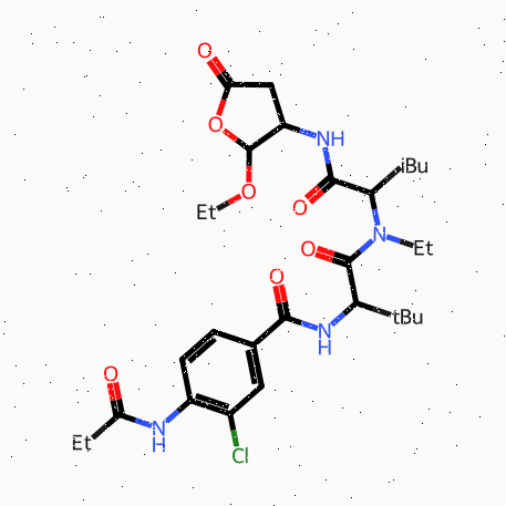 CCOC1OC(=O)CC1NC(=O)C(C(C)CC)N(CC)C(=O)C(NC(=O)c1ccc(NC(=O)CC)c(Cl)c1)C(C)(C)C